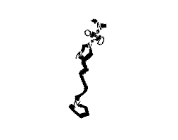 CN(C)S(=O)(=O)n1cnc(CCCCN2CC=CC2)c1